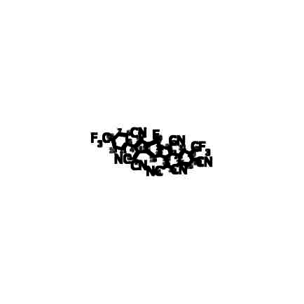 N#CC(C#N)=C1C(c2ccc(C(F)(F)F)cc2)=C(C#N)c2c1cc1c(c2F)C(C#N)=C(c2ccc(C#N)c(C(F)(F)F)c2)C1=C(C#N)C#N